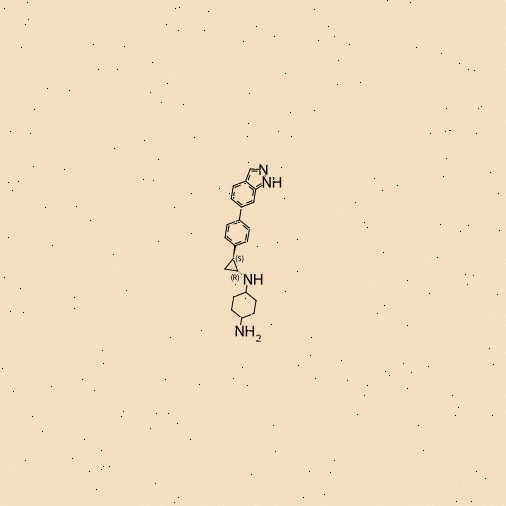 NC1CCC(N[C@@H]2C[C@H]2c2ccc(-c3ccc4cn[nH]c4c3)cc2)CC1